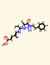 CC\C(=N/C=C(C)/C=C/C(=O)OC)NC(C)C(=O)NCCc1ccccc1